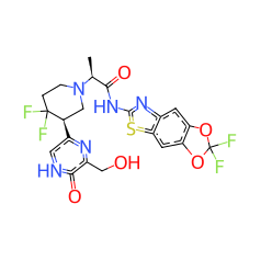 C[C@@H](C(=O)Nc1nc2cc3c(cc2s1)OC(F)(F)O3)N1CCC(F)(F)[C@H](c2c[nH]c(=O)c(CO)n2)C1